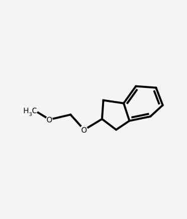 COCOC1Cc2ccccc2C1